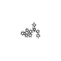 c1ccc(-c2cccc(-c3cc(-c4ccccc4)nc(-c4ccc(C5(c6ccccc6)c6ccccc6-n6c7ccccc7c7cccc5c76)cc4)n3)c2)cc1